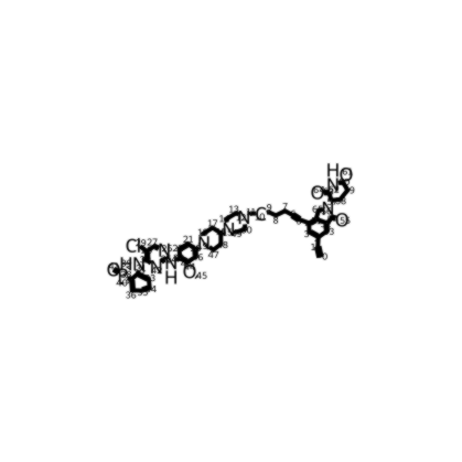 C#Cc1cc(C#CCCCCCN2CCN(C3CCN(c4ccc(Nc5ncc(Cl)c(Nc6ccccc6P(C)(C)=O)n5)c(OC)c4)CC3)CC2)c2c(c1)C(=O)N(C1CCC(=O)NC1=O)C2